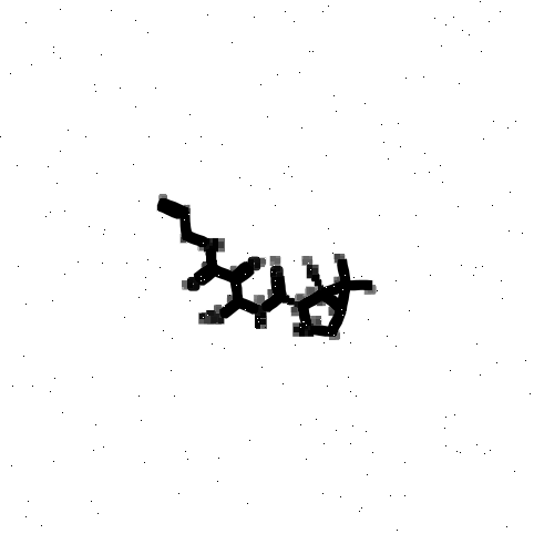 C=CCNC(=O)C(=O)C(CCCC)NC(=O)[C@H]1NCC2[C@@H]1C2(C)C